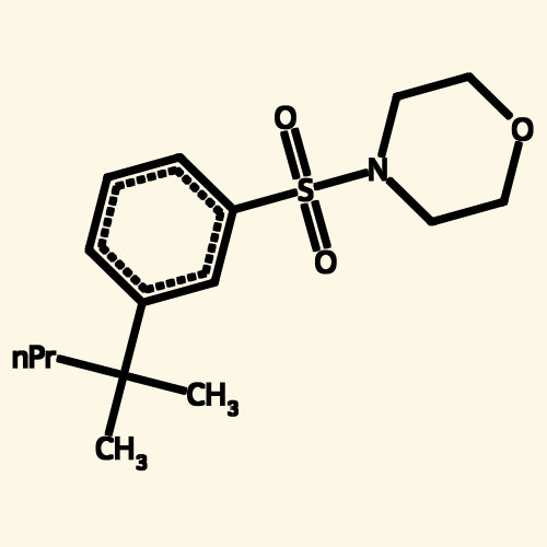 CCCC(C)(C)c1cccc(S(=O)(=O)N2CCOCC2)c1